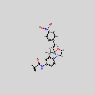 C=C(C)C(=O)Nc1ccc2c(c1)C(C)(C)C1(/C=C/c3ccc([N+](=O)[O-])cc3)OCCN21